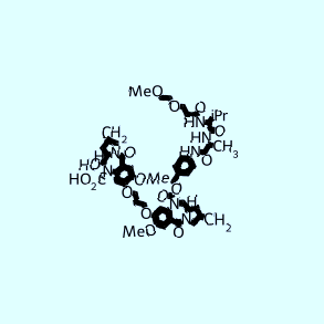 C=C1C[C@H]2CN(C(=O)OCc3ccc(NC(=O)C(C)NC(=O)C(NC(=O)CCOCCOC)C(C)C)cc3)c3cc(OCCCOc4cc5c(cc4OC)C(=O)N4CC(=C)C[C@H]4[C@H](O)N5C(=O)O)c(OC)cc3C(=O)N2C1